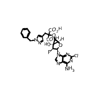 Nc1nc(Cl)nc2c1ncn2[C@@H]1O[C@@H]2C(OC(Cc3cnn(Cc4ccccc4)c3)(C(=O)O)C(=O)O)[C@]2(O)[C@@H]1F